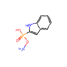 NOP(=O)(O)c1cc2ccccc2[nH]1